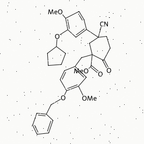 COC(=O)C1(Cc2ccc(OCc3ccccc3)c(OC)c2)CC(C#N)(c2ccc(OC)c(OC3CCCC3)c2)CCC1=O